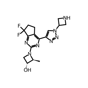 C[C@H]1[C@H](O)CN1c1nc(-c2cn(C3CNC3)nn2)c2c(n1)C(F)(F)CC2